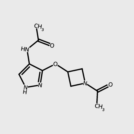 CC(=O)Nc1c[nH]nc1OC1CN(C(C)=O)C1